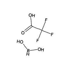 O=C(O)C(F)(F)F.OBO